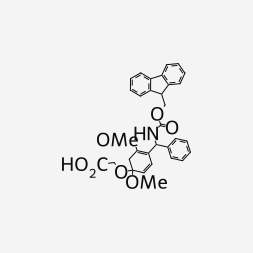 COC1=C(C(NC(=O)OCC2c3ccccc3-c3ccccc32)c2ccccc2)C=CC(OC)(OCC(=O)O)C1